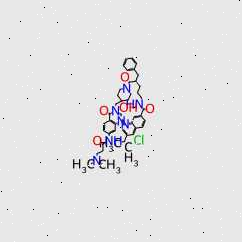 CC(C)c1cnc2cc(C(=O)NCCC[C@H](Cc3ccccc3)C(=O)N3CCC(O)(Cn4cnc5cc(NC(=O)CCN(C)C)ccc5c4=O)CC3)ccc2c1Cl